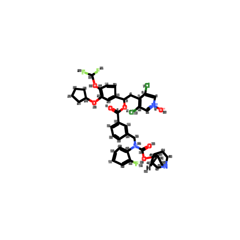 O=C(OC(Cc1c(Cl)c[n+]([O-])cc1Cl)c1ccc(OC(F)F)c(OC2CCCC2)c1)c1cccc(CN(C(=O)O[C@H]2CN3CCC2CC3)c2ccccc2F)c1